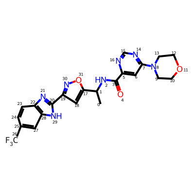 CC(NC(=O)c1cc(N2CCOCC2)ncn1)c1cc(-c2nc3ccc(C(F)(F)F)cc3[nH]2)no1